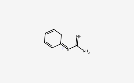 N=C(N)/N=C1/C=CC=CC1